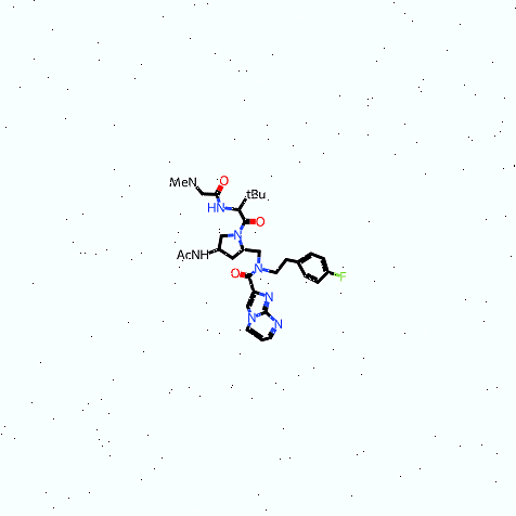 CNCC(=O)NC(C(=O)N1CC(NC(C)=O)CC1CN(CCc1ccc(F)cc1)C(=O)c1cn2cccnc2n1)C(C)(C)C